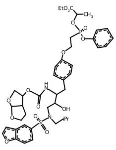 CCOC(=O)C(C)OP(=O)(CCOc1ccc(CC(NC(=O)OC2COC3OCCC23)C(O)CN(CC(C)C)S(=O)(=O)c2ccc3occc3c2)cc1)Oc1ccccc1